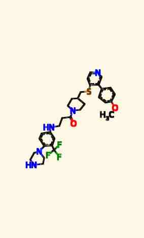 COc1ccc(-c2cnccc2SCC2CCN(C(=O)CCNc3ccc(N4CCNCC4)c(C(F)(F)F)c3)CC2)cc1